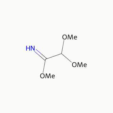 COC(=N)C(OC)OC